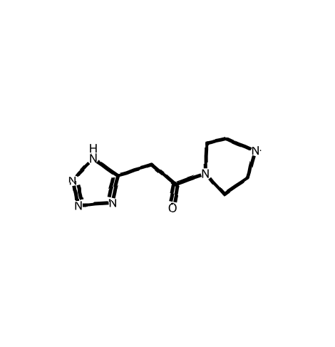 O=C(Cc1nnn[nH]1)N1CC[N]CC1